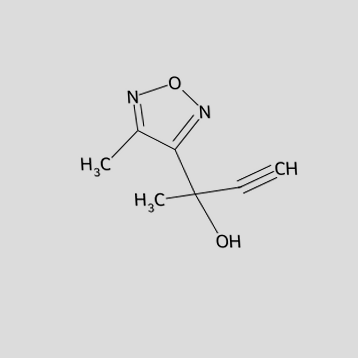 C#CC(C)(O)c1nonc1C